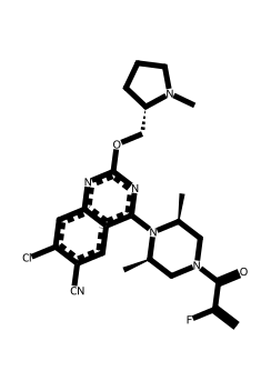 C=C(F)C(=O)N1C[C@@H](C)N(c2nc(OC[C@@H]3CCCN3C)nc3cc(Cl)c(C#N)cc23)[C@@H](C)C1